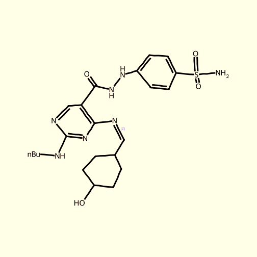 CCCCNc1ncc(C(=O)NNc2ccc(S(N)(=O)=O)cc2)c(/N=C\C2CCC(O)CC2)n1